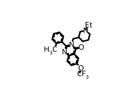 CCN1CCCC(Cn2c(-c3ccccc3C)nc3ccc(OC(F)(F)F)cc3c2=O)C1